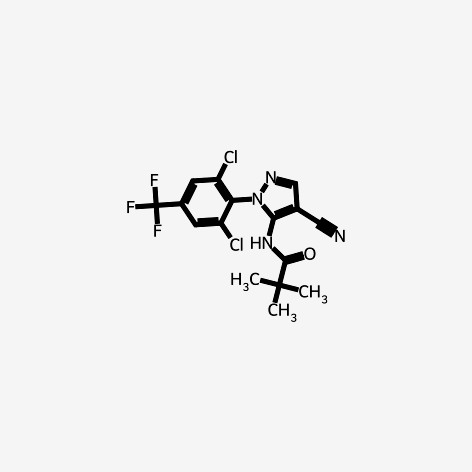 CC(C)(C)C(=O)Nc1c(C#N)cnn1-c1c(Cl)cc(C(F)(F)F)cc1Cl